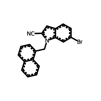 N#Cc1cc2ccc(Br)cc2n1Cc1cccc2ccccc12